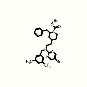 CC(C)(C)OC(=O)N1CCC(CCN(Cc2cc(C(F)(F)F)cc(C(F)(F)F)c2)c2ncc(Br)cn2)CC1Cc1ccccc1